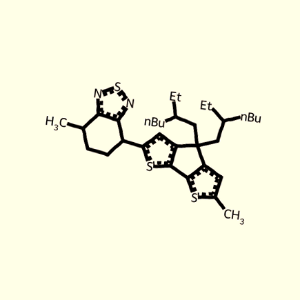 CCCCC(CC)CC1(CC(CC)CCCC)c2cc(C)sc2-c2sc(C3CCC(C)c4nsnc43)cc21